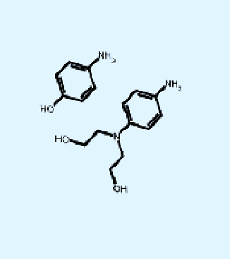 Nc1ccc(N(CCO)CCO)cc1.Nc1ccc(O)cc1